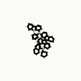 C1=CC2CCCCC2C(N(C2=CCCCC2)C2CC=CC3=C2C2=C(CCC=C2)C32C3=C(CCC(N(c4ccccc4)C4CC=CC5=C4OC4CCC=CC54)=C3)C3CCCCC32)=C1